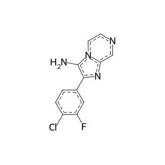 Nc1c(-c2ccc(Cl)c(F)c2)nc2cnccn12